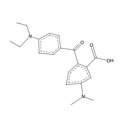 CCN(CC)c1ccc(C(=O)c2ccc(N(C)C)cc2C(=O)O)cc1